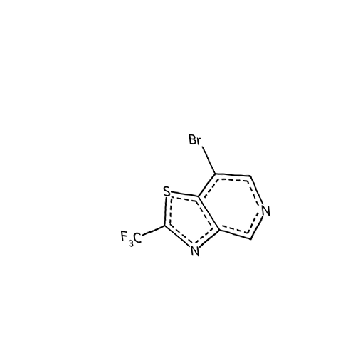 FC(F)(F)c1nc2cncc(Br)c2s1